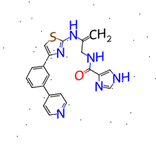 C=C(CNC(=O)c1c[nH]cn1)Nc1nc(-c2cccc(-c3ccncc3)c2)cs1